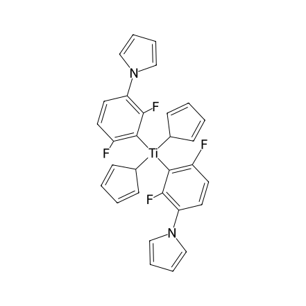 Fc1ccc(-n2cccc2)c(F)[c]1[Ti]([c]1c(F)ccc(-n2cccc2)c1F)([CH]1C=CC=C1)[CH]1C=CC=C1